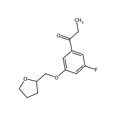 CCC(=O)c1cc(F)cc(OCC2CCCO2)c1